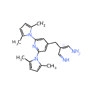 Cc1ccc(C)n1-c1cc(C/C(C=N)=C/N)cc(-n2c(C)ccc2C)n1